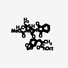 CCCCCCCC[S+]([O-])C(C)Cc1ccc2c(c1)OCO2.COC(=O)[C@@H]1N2C(=O)C(N3C(=O)c4ccccc4C3=O)[C@H]2SC1(C)C